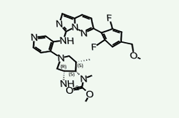 COCc1cc(F)c(-c2ccc3cnc(Nc4cnccc4N4C[C@@H](N)[C@@H](N(C)C(=O)OC)[C@@H](C)C4)n3n2)c(F)c1